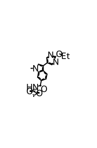 CCOc1ncc(-c2cn(C)c3cc(C(=O)NS(C)(=O)=O)ccc23)cn1